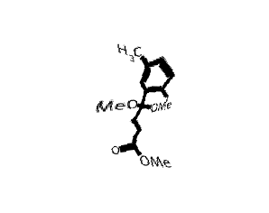 COC(=O)CCC(OC)(OC)c1cc(C)ccc1I